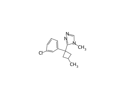 CC1CC(c2cccc(Cl)c2)(c2nncn2C)C1